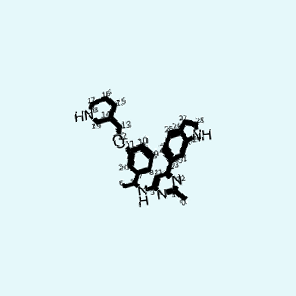 Cc1nc(NC(C)c2cccc(OCC3CCCNC3)c2)cc(-c2ccc3cc[nH]c3c2)n1